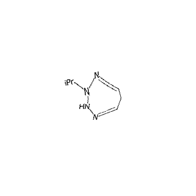 CC(C)N1N=CC=NN1